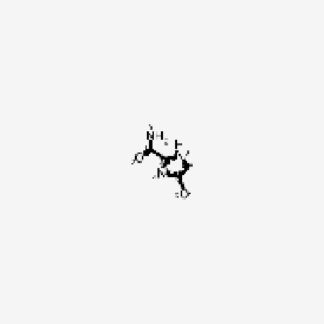 NC(=O)c1nc([O])c[nH]1